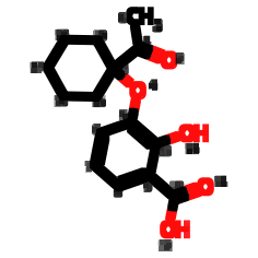 CC(=O)C1(Oc2cccc(C(=O)O)c2O)CCCCC1